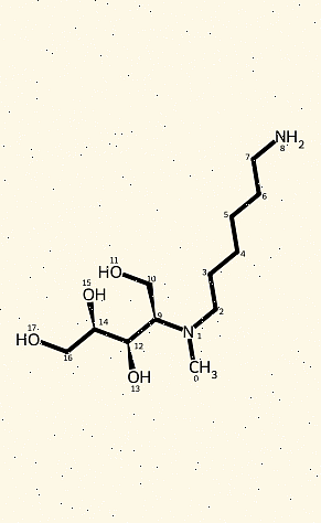 CN(CCCCCCN)[C@H](CO)[C@@H](O)[C@H](O)CO